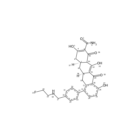 NC(=O)C1=C(O)C[C@@H]2C[C@@H]3Cc4c(-c5ccc(CNCCF)cc5)ccc(O)c4C(=O)C3=C(O)C2C1=O